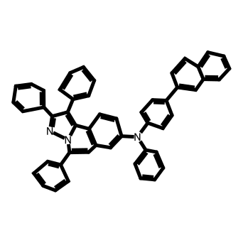 c1ccc(-c2nn3c(-c4ccccc4)cc4cc(N(c5ccccc5)c5ccc(-c6ccc7ccccc7c6)cc5)ccc4c3c2-c2ccccc2)cc1